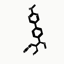 CNc1ncc(-c2ccc([C@@H](OC)[C@@H](CF)N=[N+]=[N-])cc2)cn1